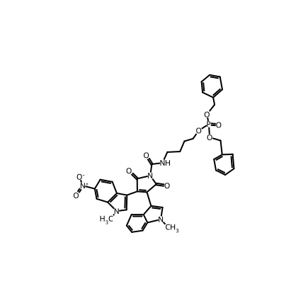 Cn1cc(C2=C(c3cn(C)c4cc([N+](=O)[O-])ccc34)C(=O)N(C(=O)NCCCCOP(=O)(OCc3ccccc3)OCc3ccccc3)C2=O)c2ccccc21